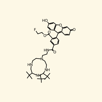 CC(C)(C)C1CNCCN(CCNC(=O)c2ccc(-c3c4ccc(=O)cc-4oc4cc(O)ccc34)c(C(=O)OCCF)c2)CCNC(C(C)(C)C)C(C(C)(C)C)N1